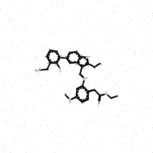 CCOC(=O)Cc1ccc(OC)cc1OCc1c(CC)oc2ccc(-c3cccc(CN)c3F)cc12